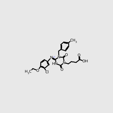 CCOc1ccc(/N=c2\[nH]c(=O)n(CCCC(=O)O)c(=O)n2Cc2ccc(C)cc2)cc1Cl